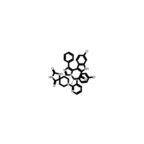 C[C@@H](c1ccc(Cl)cc1)n1cnc(-c2ccccc2)c1-c1c(C(=O)Nc2cccnc2N2CCC3(CC2)NC(=O)NC3=O)[nH]c2cc(Cl)ccc12